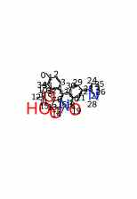 Cc1ccc(-c2c(C(OC(C)(C)C)C(=O)O)n(C)c(=O)c3cc(-c4cccn4C)ccc23)cc1C